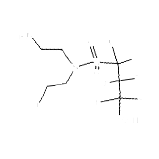 NCCN(CCI)S(=O)(=O)C(F)(F)C(F)(F)C(F)(F)S(=O)(=O)O